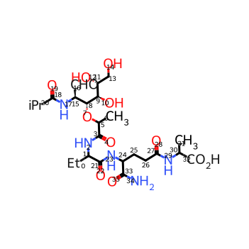 CCC(NC(=O)C(C)O[C@@H]([C@H](O)[C@H](O)CO)[C@H](C=O)NC(=O)C(C)C)C(=O)NC(CCC(=O)NC(C)C(=O)O)C(N)=O